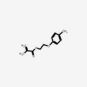 C=C(C)C(=O)OCCOc1ccc(C)cc1